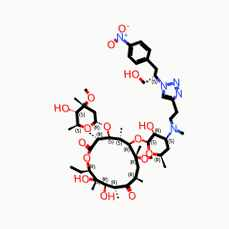 CC[C@H]1OC(=O)[C@H](C)[C@@H](O[C@H]2C[C@@](C)(OC)[C@@H](O)[C@H](C)O2)[C@H](C)[C@@H](O[C@@H]2O[C@H](C)C[C@H](N(C)CCc3cn([C@H](CO)Cc4ccc([N+](=O)[O-])cc4)nn3)[C@H]2O)[C@](C)(OC)C[C@@H](C)C(=O)[C@H](C)[C@@H](O)[C@]1(C)O